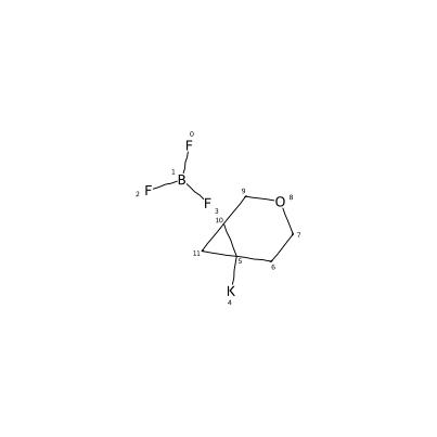 FB(F)F.[K][C]12CCOCC1C2